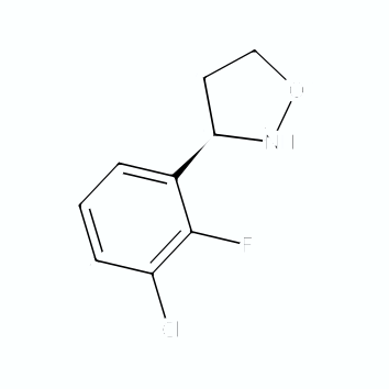 Fc1c(Cl)cccc1[C@H]1CCON1